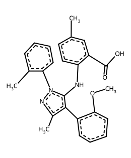 COc1ccccc1-c1c(C)nn(-c2ccccc2C)c1Nc1ccc(C)cc1C(=O)O